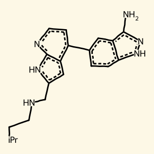 CC(C)CCNCc1cc2c(-c3ccc4[nH]nc(N)c4c3)ccnc2[nH]1